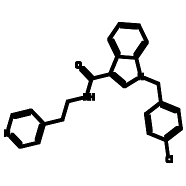 O=C(NCCc1ccncc1)c1cn(Cc2ccc(Cl)cc2)c2ccccc12